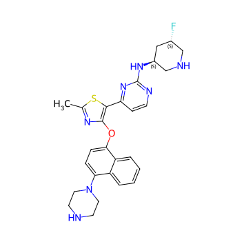 Cc1nc(Oc2ccc(N3CCNCC3)c3ccccc23)c(-c2ccnc(N[C@@H]3CNC[C@@H](F)C3)n2)s1